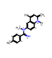 C=C1C=C(CC)c2cc(N(C)C(=N)c3ccc(C#N)cc3)ccc2N1CC